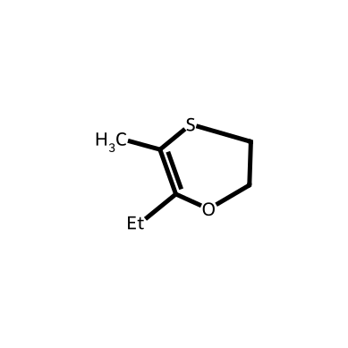 CCC1=C(C)SCCO1